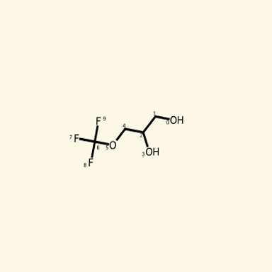 OCC(O)COC(F)(F)F